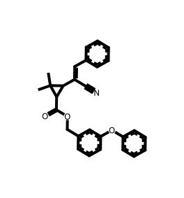 CC1(C)C(C(=O)OCc2cccc(Oc3ccccc3)c2)C1/C(C#N)=C/c1ccccc1